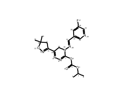 CC(C)OC(=O)OC1=NN=C(C2=NOC(C)(C)C2)CN1N=Cc1cncc(F)c1